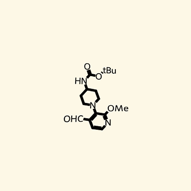 COc1nccc(C=O)c1N1CCC(NC(=O)OC(C)(C)C)CC1